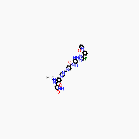 Cn1nc(C2CCC(=O)NC2=O)c2ccc(N3CCN(CCN4CCC(C(=O)N[C@H]5CC[C@H](Nc6ncc(F)c(-c7cccc(-n8ccccc8=O)c7)n6)CC5)CC4)CC3)cc21